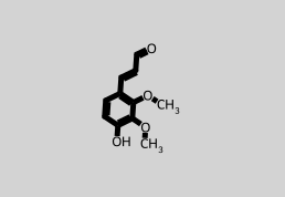 COc1c(O)ccc(C=CC=O)c1OC